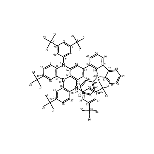 CC(C)(C)c1cc(N2c3ccc(C(C)(C)C)cc3B3c4cc(C(C)(C)C)ccc4N(c4cc(C(C)(C)C)cc(C(C)(C)C)c4)c4cc(-c5cccc6c7ccccc7n(-c7ccccc7)c56)cc2c43)cc(C(C)(C)C)c1